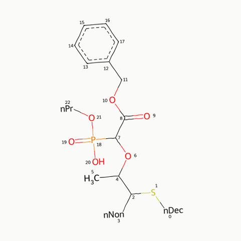 CCCCCCCCCCSC(CCCCCCCCC)C(C)OC(C(=O)OCc1ccccc1)P(=O)(O)OCCC